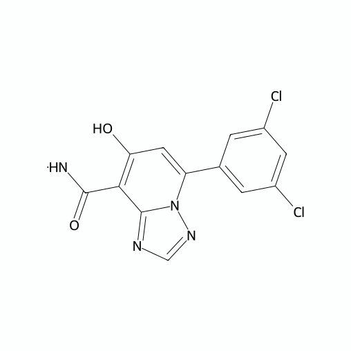 [NH]C(=O)c1c(O)cc(-c2cc(Cl)cc(Cl)c2)n2ncnc12